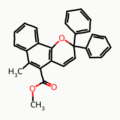 COC(=O)c1c2c(c3ccccc3c1C)OC(c1ccccc1)(c1ccccc1)C=C2